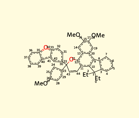 CCC1(CC)c2ccccc2-c2c1c1c(c3cc(OC)c(OC)cc23)OC(c2ccc(OC)cc2)(c2ccc3oc4ccccc4c3c2)C=C1